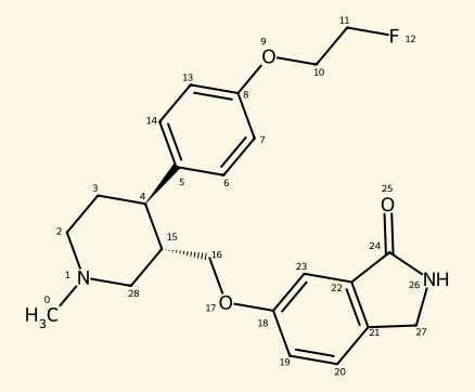 CN1CC[C@@H](c2ccc(OCCF)cc2)[C@H](COc2ccc3c(c2)C(=O)NC3)C1